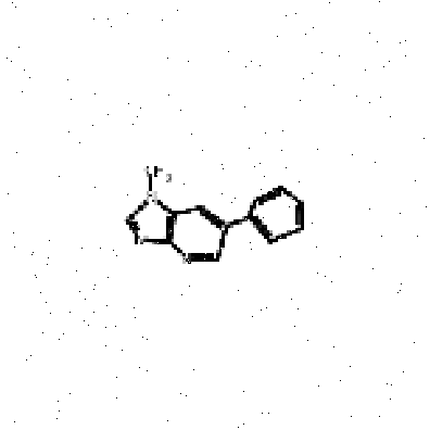 Cn1cnc2ncc(-c3ccccc3)cc21